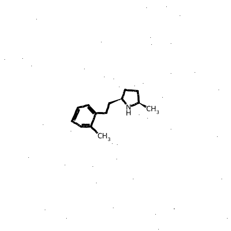 Cc1ccccc1CC[C@H]1CC[C@@H](C)N1